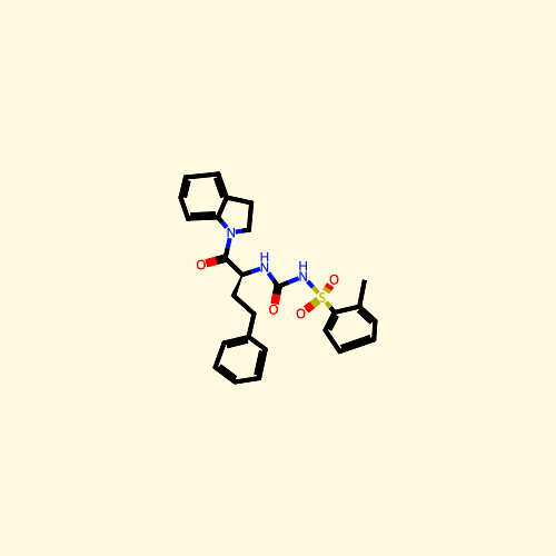 Cc1ccccc1S(=O)(=O)NC(=O)N[C@@H](CCc1ccccc1)C(=O)N1CCc2ccccc21